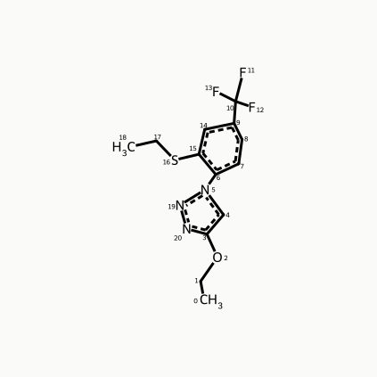 CCOc1cn(-c2ccc(C(F)(F)F)cc2SCC)nn1